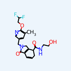 Cc1cc(CN2CC3=C(C=CCC3C(=O)NCCO)C2=O)cnc1OCC(F)F